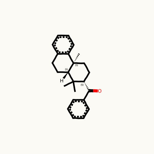 CC1(C)[C@@H](C(=O)c2ccccc2)CC[C@]2(C)c3ccccc3CC[C@@H]12